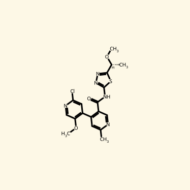 COc1cnc(Cl)cc1-c1cc(C)ncc1C(=O)Nc1nnc([C@@H](C)OC)s1